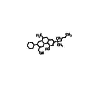 CCCCC(C)(C)c1cc(O)c2c(c1)C=C(C)C1CC(C3CCCCC3)C(CO)=CC21